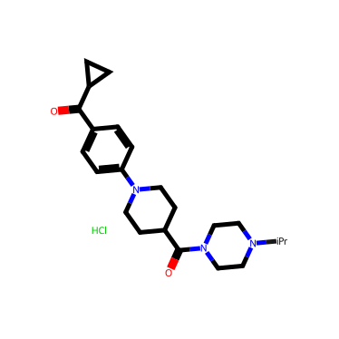 CC(C)N1CCN(C(=O)C2CCN(c3ccc(C(=O)C4CC4)cc3)CC2)CC1.Cl